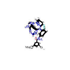 COc1cc(C(=O)Nc2ccc(F)c(N(c3ccccn3)c3ncnc4[nH]cnc34)c2)cc(C(F)(F)F)c1